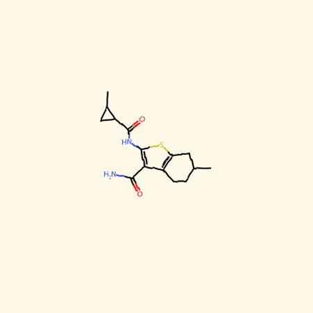 CC1CCc2c(sc(NC(=O)C3CC3C)c2C(N)=O)C1